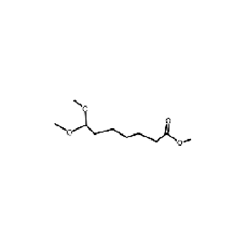 COC(=O)CCCCCC(OC)OC